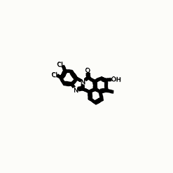 Cc1c(O)cc2c(=O)n3c4cc(Cl)c(Cl)cc4nc3c3cccc1c23